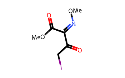 CON=C(C(=O)CI)C(=O)OC